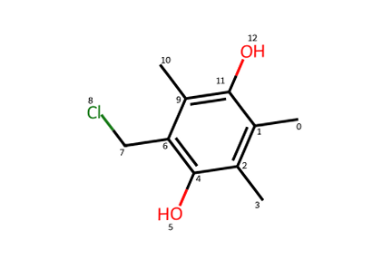 Cc1c(C)c(O)c(CCl)c(C)c1O